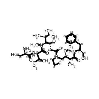 CC[C@H](C)[C@@H]([C@@H](CC(=O)N1CCC[C@H]1[C@H](OC)[C@@H](C)C(=O)N[C@H](CO)Cc1ccccc1)OC)N(C)C(=O)[C@@H](NC(=O)[C@H](N)CO)C(C)C